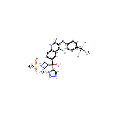 CCc1nc2ccc(C(O)(c3cnnn3C)C3CN(S(C)(=O)=O)C3)cc2c(Cl)c1Cc1ccc(C(C)(F)F)cc1